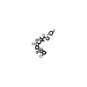 Cc1[nH]c(/C=C2\C(=O)Nc3ccc(S(=O)(=O)Cc4c(Cl)cccc4Cl)cc32)c(C)c1C(=O)N1CCC[C@H]1CN1CCC(F)CC1